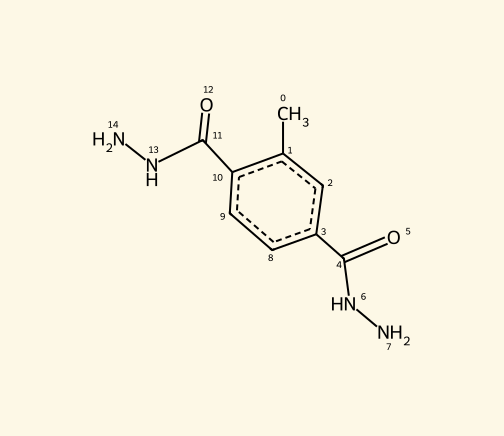 Cc1cc(C(=O)NN)ccc1C(=O)NN